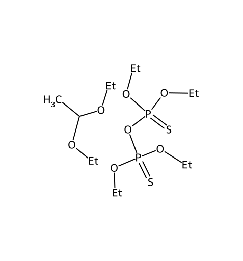 CCOC(C)OCC.CCOP(=S)(OCC)OP(=S)(OCC)OCC